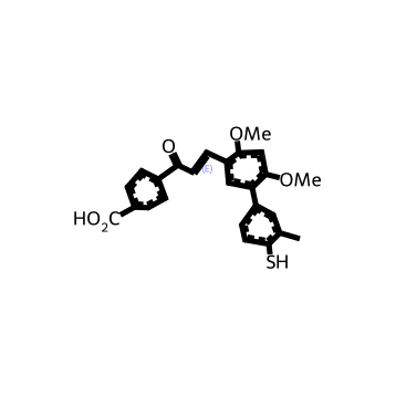 COc1cc(OC)c(-c2ccc(S)c(C)c2)cc1/C=C/C(=O)c1ccc(C(=O)O)cc1